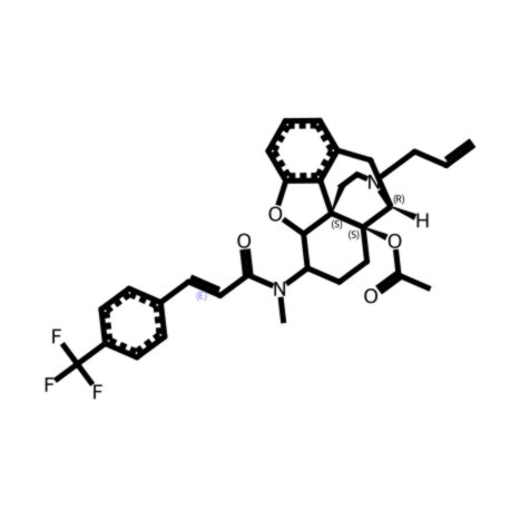 C=CCN1CC[C@]23c4c5cccc4OC2C(N(C)C(=O)/C=C/c2ccc(C(F)(F)F)cc2)CC[C@@]3(OC(C)=O)[C@H]1C5